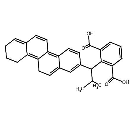 CC(C)C(c1ccc2c(c1)=CCc1c3c(ccc1=2)=CCCC3)c1c(C(=O)O)cccc1C(=O)O